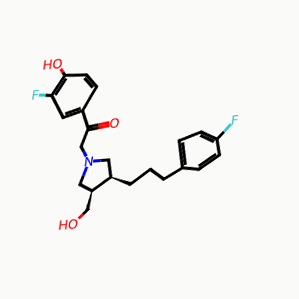 O=C(CN1C[C@@H](CCCc2ccc(F)cc2)[C@@H](CO)C1)c1ccc(O)c(F)c1